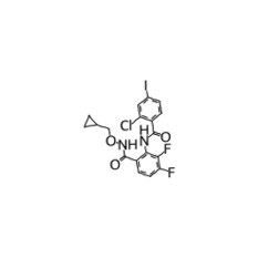 O=C(Nc1c(C(=O)NOCC2CC2)ccc(F)c1F)c1ccc(I)cc1Cl